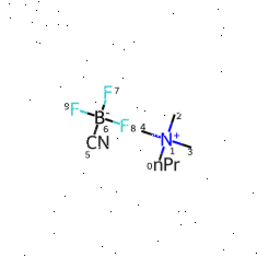 CCC[N+](C)(C)C.N#C[B-](F)(F)F